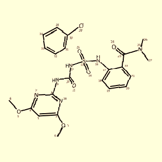 COc1cc(OC)nc(NC(=O)NS(=O)(=O)Nc2ccccc2C(=O)N(C)C)n1.Clc1ccccc1